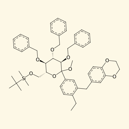 CCc1ccc(C2(OC)O[C@H](CO[Si](C)(C)C(C)(C)C)[C@@H](OCc3ccccc3)[C@H](OCc3ccccc3)[C@H]2OCc2ccccc2)cc1Cc1ccc2c(c1)OCCO2